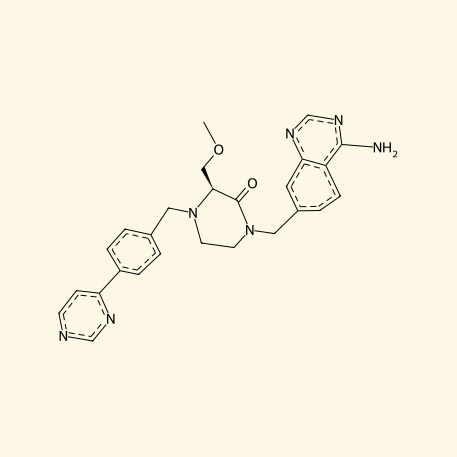 COC[C@H]1C(=O)N(Cc2ccc3c(N)ncnc3c2)CCN1Cc1ccc(-c2ccncn2)cc1